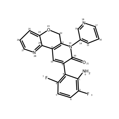 Nc1c(F)ccc(F)c1-c1cc2c(n(-c3cccnc3)c1=O)COc1cccnc1-2